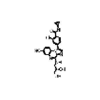 N#Cc1ccc2c(c1)nc(NC[C@@H](O)CO)c1ncc(-c3ccc(C(=O)NC4CC4)c(Cl)c3)n12